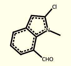 Cn1c(Cl)cc2cccc(C=O)c21